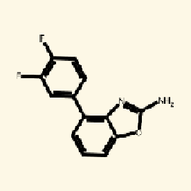 Nc1nc2c(-c3ccc(F)c(F)c3)cccc2o1